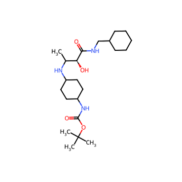 CC(NC1CCC(NC(=O)OC(C)(C)C)CC1)[C@H](O)C(=O)NCC1CCCCC1